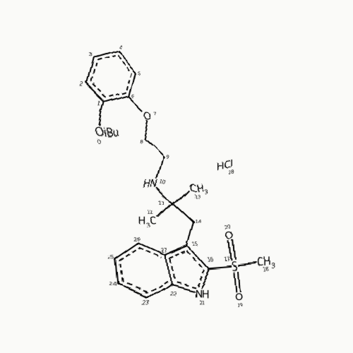 CC(C)COc1ccccc1OCCNC(C)(C)Cc1c(S(C)(=O)=O)[nH]c2ccccc12.Cl